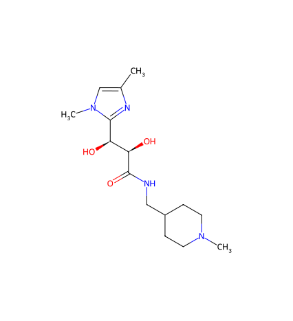 Cc1cn(C)c([C@H](O)[C@@H](O)C(=O)NCC2CCN(C)CC2)n1